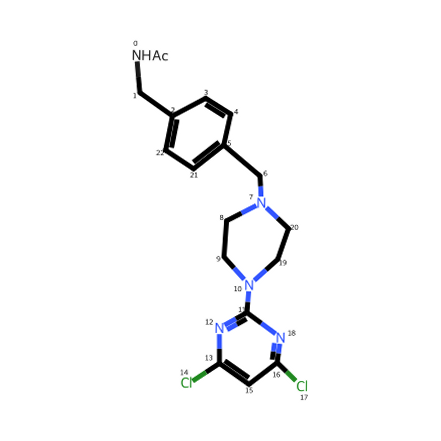 CC(=O)NCc1ccc(CN2CCN(c3nc(Cl)cc(Cl)n3)CC2)cc1